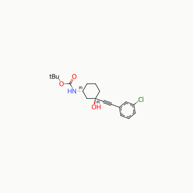 CC(C)(C)OC(=O)N[C@@H]1CCC[C@](O)(C#Cc2cccc(Cl)c2)C1